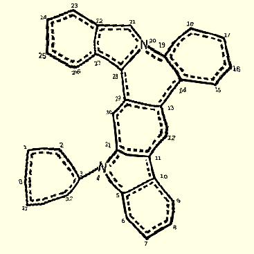 c1ccc(-n2c3ccccc3c3cc4c5ccccc5n5cc6ccccc6c5c4cc32)cc1